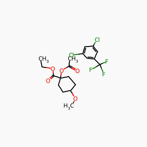 CCOC(=O)C1(OC(C)=O)CCC(OC)CC1.FC(F)(F)c1cc(Cl)cc(Cl)c1